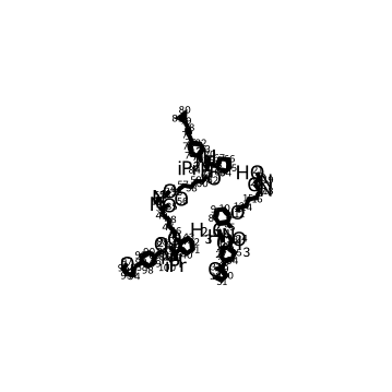 [2H]C(C)(C)N(Cc1ccccc1OCCCCc1nnc(O)o1)C(=O)c1ccc(-c2ccco2)cc1.[2H]C([2H])(c1ccccc1OCCCCc1nnc(OC(=O)CCCCCOc2ccccc2C([2H])([2H])N(c2ccc(C#CC3CC3)cc2)C(C)C)o1)N(C(=O)c1ccc(-c2ccco2)cc1)C(C)C